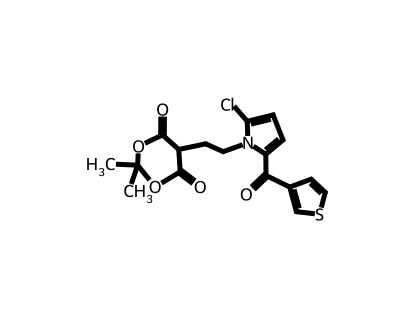 CC1(C)OC(=O)C(CCn2c(Cl)ccc2C(=O)c2ccsc2)C(=O)O1